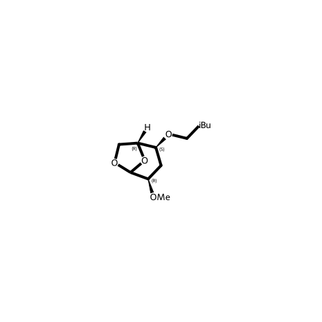 CCC(C)CO[C@H]1C[C@@H](OC)C2OC[C@H]1O2